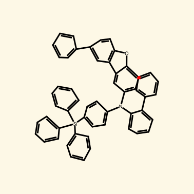 c1ccc(-c2ccc3oc4ccc(N(c5ccc([Si](c6ccccc6)(c6ccccc6)c6ccccc6)cc5)c5ccccc5-c5ccccc5)cc4c3c2)cc1